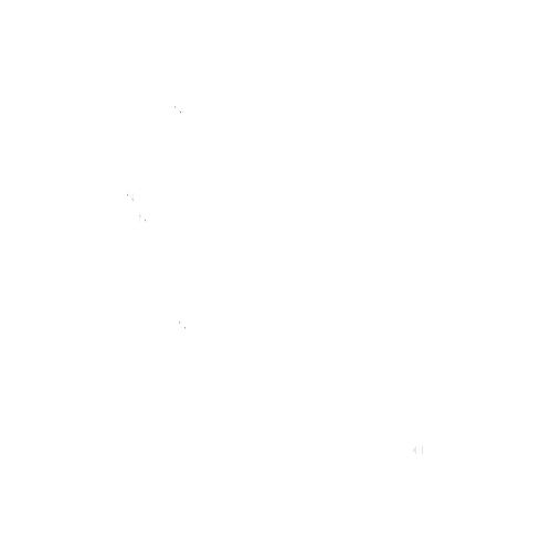 CN(CCCCCCCCCCCO)c1ccc(C=NNc2ccc([N+](=O)[O-])cc2)cc1